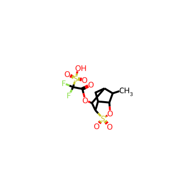 CC1C2CC3C1OS(=O)(=O)C3C2OC(=O)C(F)(F)S(=O)(=O)O